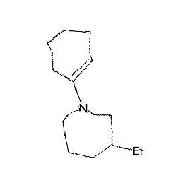 CCC1CCCN(C2=CCCCC2)C1